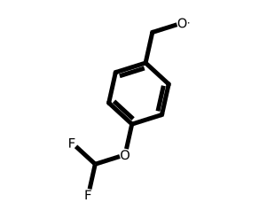 [O]Cc1ccc(OC(F)F)cc1